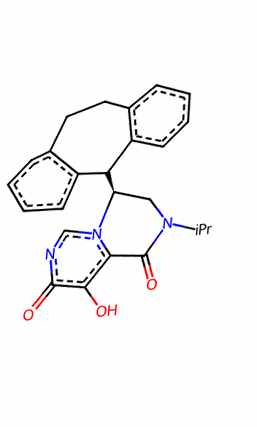 CC(C)N1C[C@H](C2c3ccccc3CCc3ccccc32)n2cnc(=O)c(O)c2C1=O